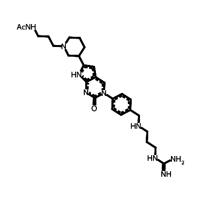 CC(=O)NCCCN1CCCC(c2cc3cn(-c4ccc(CNCCCNC(=N)N)cc4)c(=O)nc3[nH]2)C1